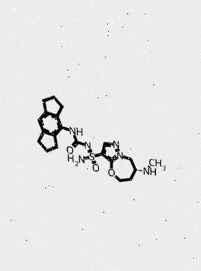 CN[C@@H]1CCOc2c(S(N)(=O)=NC(=O)Nc3c4c(cc5c3CCC5)CCC4)cnn2C1